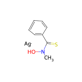 CN(O)C(=S)c1ccccc1.[Ag]